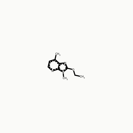 CCOc1nc2c(C)ccnc2n1C